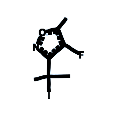 Cc1onc(C(C)(C)I)c1F